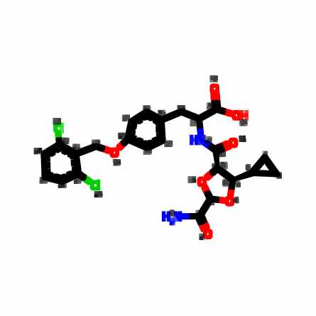 NC(=O)C1O[C@H](C2CC2)[C@H](C(=O)NC(Cc2ccc(OCc3c(Cl)cccc3Cl)cc2)C(=O)O)O1